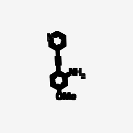 COc1ccc(C#Cc2cccnc2)c(N)c1